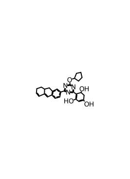 OC1=CC(O)=C(c2nc(OC3CCCC3)nc(-c3ccc4c(c3)CC3CCC=CC3=C4)n2)C(O)C1